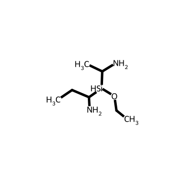 CCO[SiH](C(C)N)C(N)CC